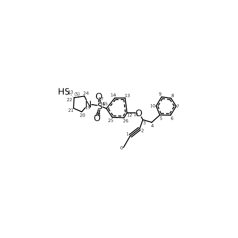 CC#CC(Cc1ccccc1)Oc1ccc(S(=O)(=O)N2CC[C@H](S)C2)cc1